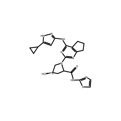 O=C(Nc1nccs1)C1C[C@@H](O)CN1c1nc2c(c(Nc3cc(C4CC4)[nH]n3)n1)CCC2